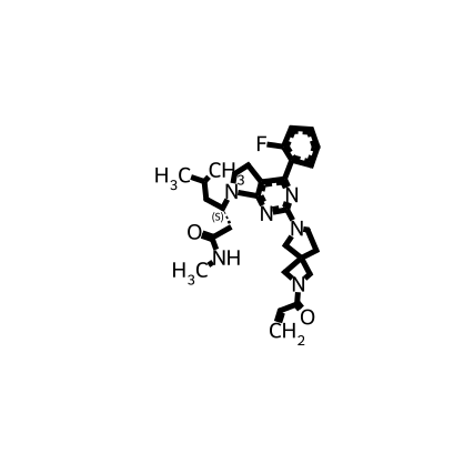 C=CC(=O)N1CC2(CCN(c3nc(-c4ccccc4F)c4c(n3)N([C@H](CC(=O)NC)CC(C)C)CC4)C2)C1